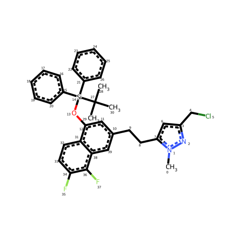 Cn1nc(CCl)cc1CCc1cc(O[Si](c2ccccc2)(c2ccccc2)C(C)(C)C)c2ccc(F)c(F)c2c1